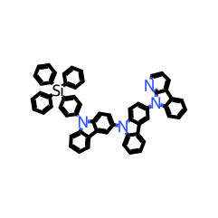 c1ccc([Si](c2ccccc2)(c2ccccc2)c2ccc(-n3c4ccccc4c4cc(-n5c6ccccc6c6cc(-n7c8ccccc8c8cccnc87)ccc65)ccc43)cc2)cc1